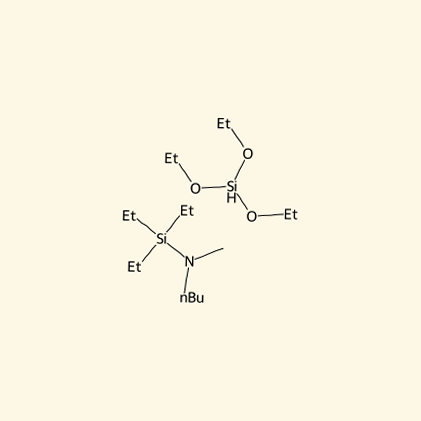 CCCCN(C)[Si](CC)(CC)CC.CCO[SiH](OCC)OCC